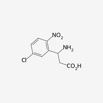 NC(CC(=O)O)c1cc(Cl)ccc1[N+](=O)[O-]